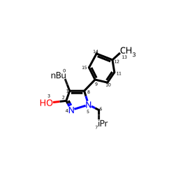 CCCCc1c(O)nn(CC(C)C)c1-c1ccc(C)cc1